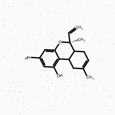 C=C[C@]1(C)Oc2cc(CCC)cc(O)c2C2CC(C)=CCC21